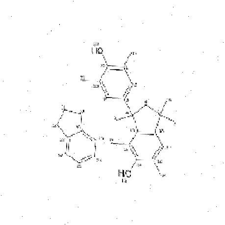 Cc1cc(C2(C)CC(C)(C)c3cc(C)c(O)c(C)c32)cc(C)c1O.c1ccc2c(c1)CCC2